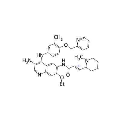 CCOc1cc2ncc(N)c(Nc3ccc(OCc4ccccn4)c(C)c3)c2cc1NC(=O)/C=C/C1CCCCN1C